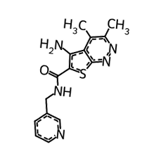 Cc1nnc2sc(C(=O)NCc3cccnc3)c(N)c2c1C